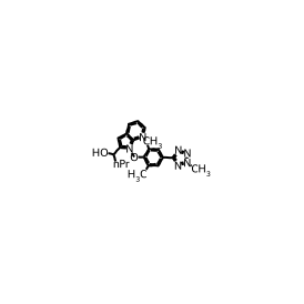 CCCC(O)c1cc2cccnc2n1Oc1c(C)cc(-c2nnn(C)n2)cc1C